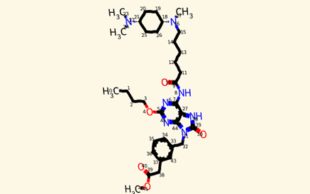 CCCCOc1nc(NC(=O)CCCCCN(C)[C@H]2CC[C@@H](N(C)C)CC2)c2[nH]c(=O)n(Cc3cccc(CC(=O)OC)c3)c2n1